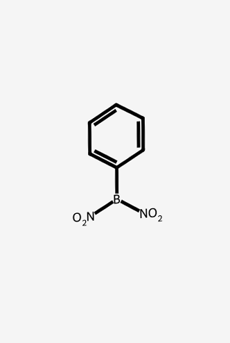 O=[N+]([O-])B(c1ccccc1)[N+](=O)[O-]